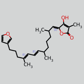 CC1=C(O)/C(=C/C(C)CCCC(C)/C=C/C=C(\C)CCCc2ccoc2)OC1=O